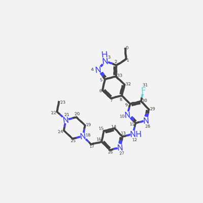 CCc1[nH]nc2ccc(-c3nc(Nc4ccc(CN5CCN(CC)CC5)cn4)ncc3F)cc12